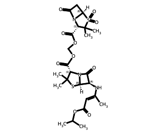 CC(=CC(=O)OC(C)C)N[C@@H]1C(=O)N2[C@@H]1SC(C)(C)[C@@H]2C(=O)OCOC(=O)[C@@H]1N2C(=O)C[C@H]2S(=O)(=O)C1(C)C